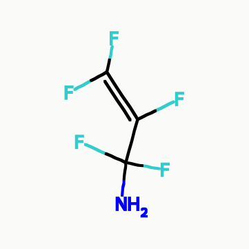 NC(F)(F)C(F)=C(F)F